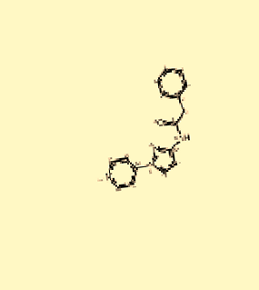 O=C(Cc1ccccc1)Nc1ccn(-c2ccncc2)n1